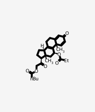 CCCCC(=O)OCC(=O)[C@H]1CC[C@H]2C3=C([C@@H](OC(=O)CC)C[C@]12C)[C@@]1(C)C=CC(=O)C=C1CC3